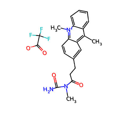 Cc1c2ccccc2[n+](C)c2ccc(CCC(=O)N(C)C(N)=O)cc12.O=C([O-])C(F)(F)F